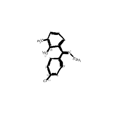 Cc1cccc(C(=NO)c2ccc(Cl)cc2)c1O